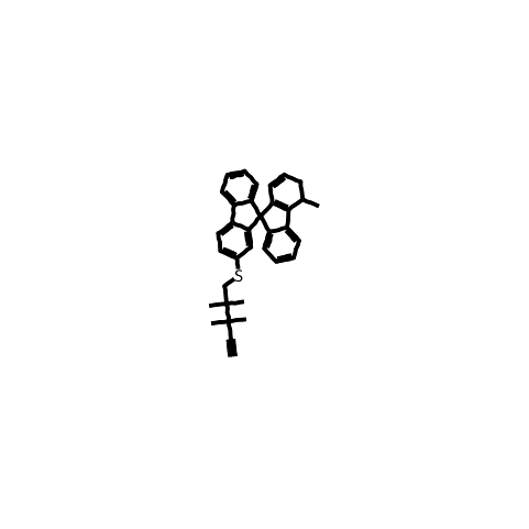 C#CC(C)(C)C(C)(C)CSc1ccc2c(c1)C1(C3=C(c4ccccc41)C(C)CC=C3)c1ccccc1-2